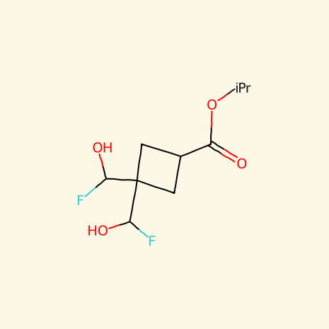 CC(C)OC(=O)C1CC(C(O)F)(C(O)F)C1